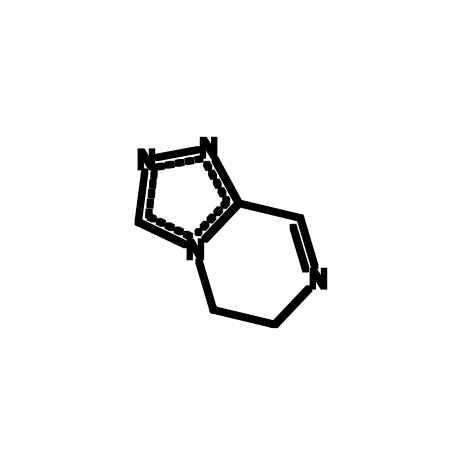 C1=NCCn2cnnc21